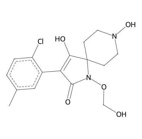 Cc1ccc(Cl)c(C2=C(O)C3(CCN(O)CC3)N(OCO)C2=O)c1